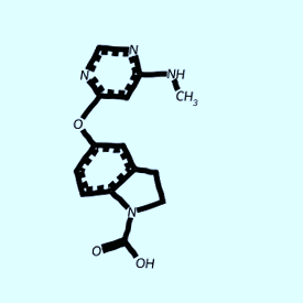 CNc1cc(Oc2ccc3c(c2)CCN3C(=O)O)ncn1